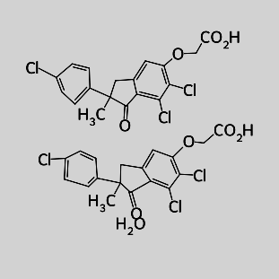 CC1(c2ccc(Cl)cc2)Cc2cc(OCC(=O)O)c(Cl)c(Cl)c2C1=O.CC1(c2ccc(Cl)cc2)Cc2cc(OCC(=O)O)c(Cl)c(Cl)c2C1=O.O